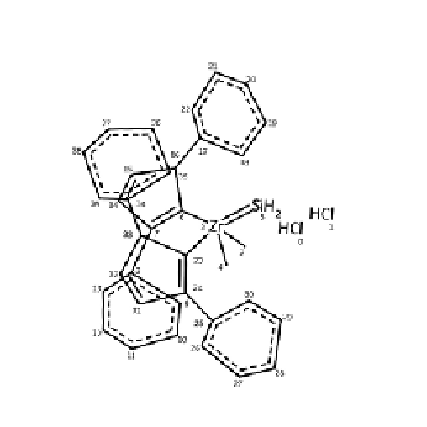 Cl.Cl.[CH3][Zr]([CH3])(=[SiH2])([C]1=C(c2ccccc2)C=CC1c1ccccc1)[C]1=C(c2ccccc2)C=CC1c1ccccc1